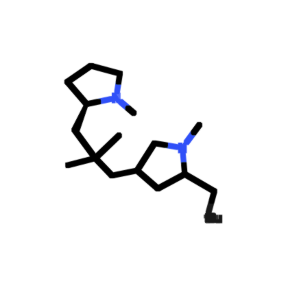 CN1CC(CC(C)(C)C[C@H]2CCCN2C)CC1CC(C)(C)C